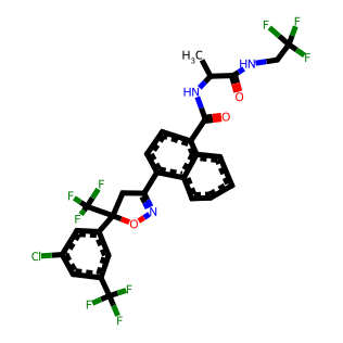 CC(NC(=O)c1ccc(C2=NOC(c3cc(Cl)cc(C(F)(F)F)c3)(C(F)(F)F)C2)c2ccccc12)C(=O)NCC(F)(F)F